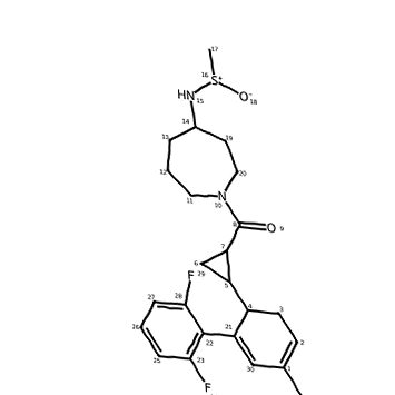 CC1=CCC(C2CC2C(=O)N2CCCC(N[S+](C)[O-])CC2)C(c2c(F)cccc2F)=C1